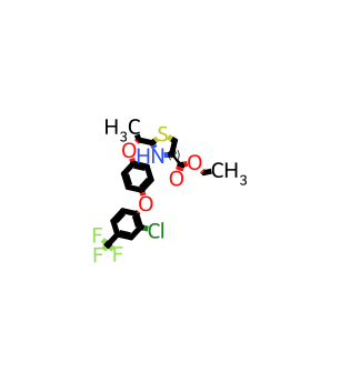 CCOC(=O)[C@@H]1CSC(C(C)Oc2ccc(Oc3ccc(C(F)(F)F)cc3Cl)cc2)N1